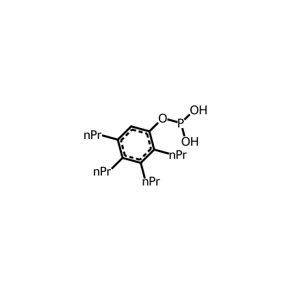 CCCc1cc(OP(O)O)c(CCC)c(CCC)c1CCC